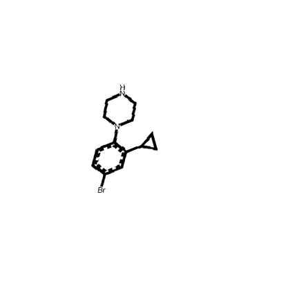 Brc1ccc(N2CCNCC2)c(C2CC2)c1